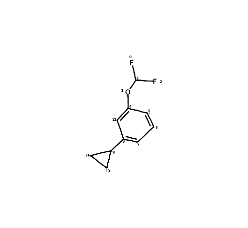 FC(F)Oc1[c]ccc(C2CC2)c1